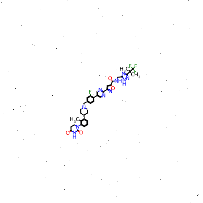 Cc1c(C2CCN(Cc3ccc(-c4cnc(-c5cc(C(=O)NCc6nc(C(C)(C)C(F)(F)F)n[nH]6)on5)nc4)c(F)c3)CC2)cccc1N1CCC(=O)NC1=O